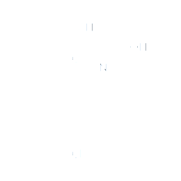 Cc1oc(C=Cc2cccc(Cl)c2)nc1CO